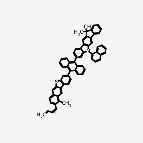 C=C/C=C\c1ccc2cc3sc4cc(-c5c6ccccc6c(-c6ccc7c8cc9c(cc8n(-c8cccc%10ccccc8%10)c7c6)-c6ccccc6C9(C)C)c6ccccc56)ccc4c3cc2c1C